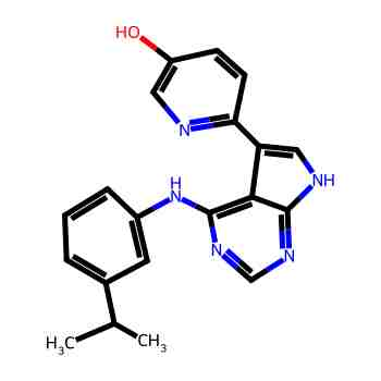 CC(C)c1cccc(Nc2ncnc3[nH]cc(-c4ccc(O)cn4)c23)c1